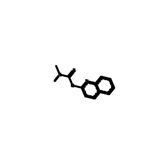 CN(C)C(=S)Oc1ccc2ccccc2n1